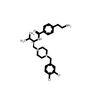 CC(C)[C@H](CN1CCN(Cc2ccc(Cl)c(Cl)c2)CC1)NC(=O)c1ccc(CCN)cc1